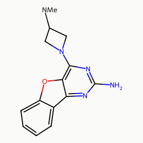 CNC1CN(c2nc(N)nc3c2oc2ccccc23)C1